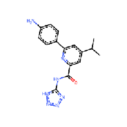 CC(C)c1cc(C(=O)Nc2nnn[nH]2)nc(-c2ccc(N)cc2)c1